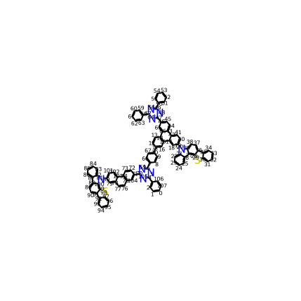 c1ccc(-c2nc(-c3ccc(-c4ccc5c(c4)c4cc(-n6c7ccccc7c7c8sc9ccccc9c8ccc76)ccc4c4ccc(-c6nc(-c7ccccc7)nc(-c7ccccc7)n6)cc45)cc3)nc(-c3ccc4c(ccc5cc(-n6c7ccccc7c7ccc8c9ccccc9sc8c76)ccc54)c3)n2)cc1